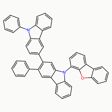 c1ccc(-c2cc3c4ccccc4n(-c4cccc5c4oc4ccccc45)c3cc2-c2ccc3c(c2)c2ccccc2n3-c2ccccc2)cc1